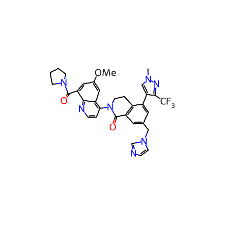 COc1cc(C(=O)N2CCCC2)c2nccc(N3CCc4c(cc(Cn5ccnc5)cc4-c4cn(C)nc4C(F)(F)F)C3=O)c2c1